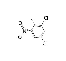 Cc1c(Cl)cc(Cl)cc1[N+](=O)[O-]